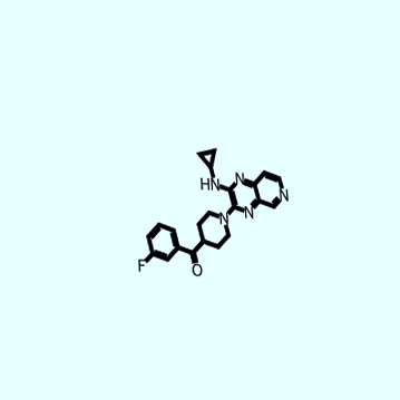 O=C(c1cccc(F)c1)C1CCN(c2nc3cnccc3nc2NC2CC2)CC1